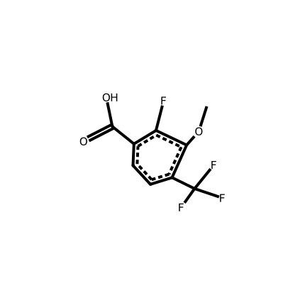 COc1c(C(F)(F)F)ccc(C(=O)O)c1F